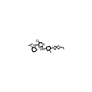 CCN1CC2(C1)CN(c1ccc(Nc3ncc(Cl)c(Nc4ccccc4P(C)C)n3)cc1C)C2